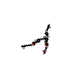 C=CC(=O)OCCCCCCOc1ccc(C(=O)Oc2ccc(OCCOC(=O)c3cc(OC(=O)c4ccc(OCCCOC(=O)C=C)cc4)ccc3OC(=O)c3ccc(OCCCOC(=O)C=C)cc3)cc2)cc1